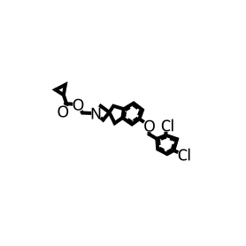 O=C(OCN1CC2(Cc3ccc(OCc4ccc(Cl)cc4Cl)cc3C2)C1)C1CC1